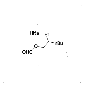 CCCCC(CC)COC=O.[NaH]